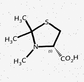 CN1[C@@H](C(=O)O)CSC1(C)C